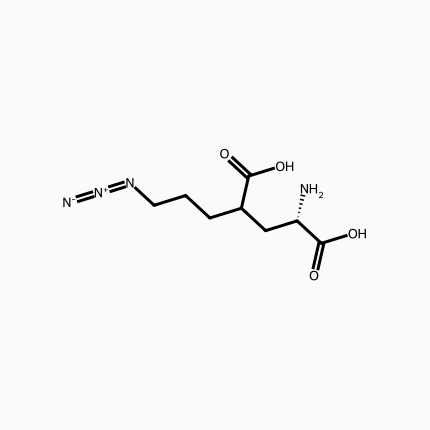 [N-]=[N+]=NCCCC(C[C@H](N)C(=O)O)C(=O)O